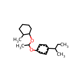 CCC(C)c1ccc(OC(C)OC2CCCCC2C)cc1